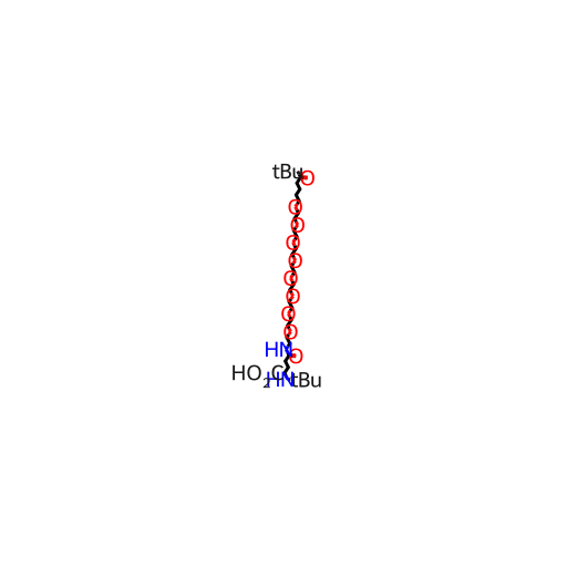 CC(C)(C)N[C@@H](CCC(=O)NCCOCCOCCOCCOCCOCCOCCOCCOCCCCC(=O)C(C)(C)C)C(=O)O